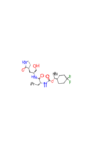 CCCCC(OC(=O)N[C@@H](CC(C)C)C(=O)N[C@H](CO)C[C@@H]1CCNC1=O)C1CCC(F)(F)CC1